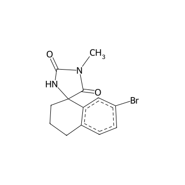 CN1C(=O)NC2(CCCc3ccc(Br)cc32)C1=O